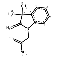 C=C1N(CC(N)=O)c2ccccc2C1(C)C